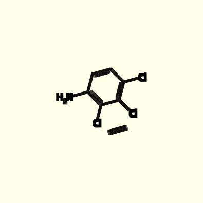 C=C.Nc1ccc(Cl)c(Cl)c1Cl